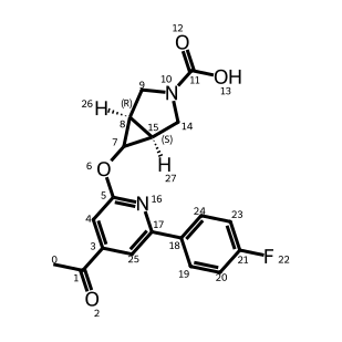 CC(=O)c1cc(OC2[C@H]3CN(C(=O)O)C[C@@H]23)nc(-c2ccc(F)cc2)c1